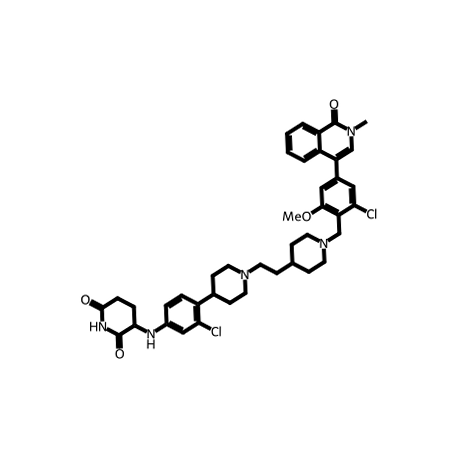 COc1cc(-c2cn(C)c(=O)c3ccccc23)cc(Cl)c1CN1CCC(CCN2CCC(c3ccc(NC4CCC(=O)NC4=O)cc3Cl)CC2)CC1